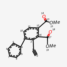 C#Cc1c(-c2ccccc2)ccc(C(=O)OC)c1C(=O)OC